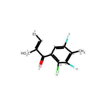 CCC=C(C(=O)O)C(=O)c1cc(F)c(C)c(F)c1Cl